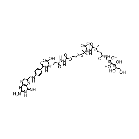 C[C@@H](CCC(=O)NC[C@H](O)[C@@H](O)[C@H](O)[C@H](O)CO)C(=O)N[C@@H](C(=O)O)C(C)(C)SSCCOC(=O)NNC(=O)CC[C@H](NC(=O)c1ccc(NCc2cnc3nc(N)[nH]c(=N)c3n2)cc1)C(=O)O